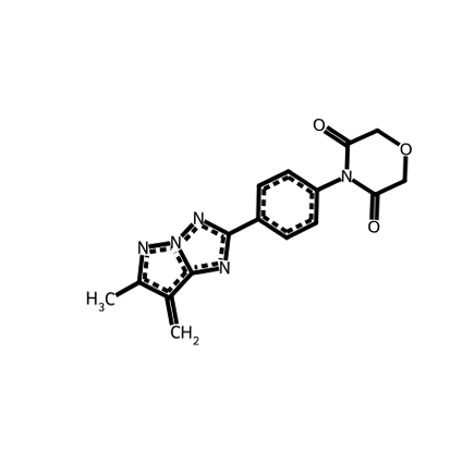 C=c1c(C)nn2nc(-c3ccc(N4C(=O)COCC4=O)cc3)nc12